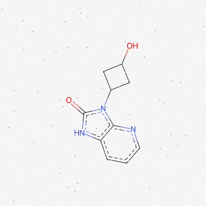 O=c1[nH]c2cccnc2n1C1CC(O)C1